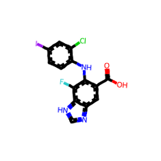 O=C(O)c1cc2nc[nH]c2c(F)c1Nc1ccc(I)cc1Cl